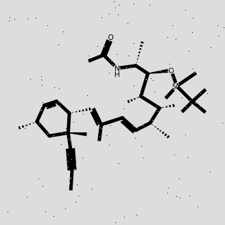 CC#C[C@]1(C)C[C@H](C)C=C[C@@H]1/C=C(C)/C=C/[C@@H](C)[C@@H](C)[C@H](C)[C@H](O[Si](C)(C)C(C)(C)C)[C@@H](C)NC(C)=O